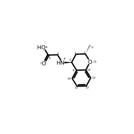 C[C@H]1C[C@H](NCC(=O)O)c2ccccc2O1